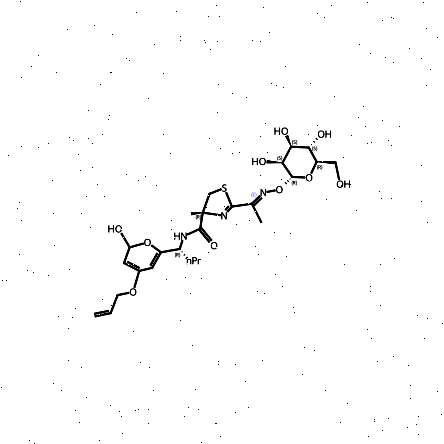 C=CCOC1=CC(O)OC([C@@H](CCC)NC(=O)[C@]2(C)CSC(/C(C)=N/O[C@H]3O[C@H](CO)[C@@H](O)[C@H](O)[C@@H]3O)=N2)=C1